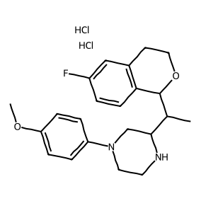 COc1ccc(N2CCNC(C(C)C3OCCc4cc(F)ccc43)C2)cc1.Cl.Cl